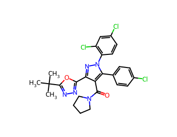 CC(C)(C)c1nnc(-c2nn(-c3ccc(Cl)cc3Cl)c(-c3ccc(Cl)cc3)c2C(=O)N2CCCC2)o1